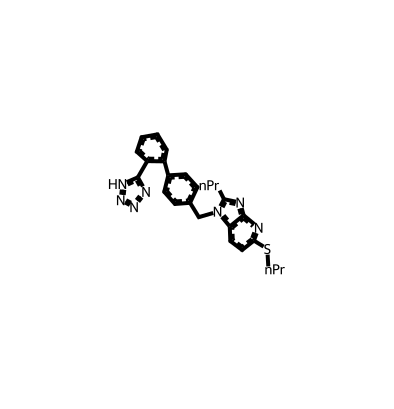 CCCSc1ccc2c(n1)nc(CCC)n2Cc1ccc(-c2ccccc2-c2nnn[nH]2)cc1